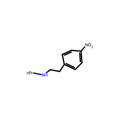 CCCNCCc1ccc([N+](=O)[O-])cc1